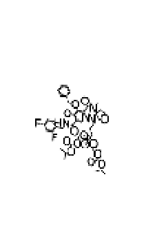 CC(C)OC(=O)OCOP(=O)(CCCN1n2cc(C(=O)NCc3ccc(F)cc3F)c(=O)c(OCc3ccccc3)c2C(=O)N(C)C12CCOC2)OCOC(=O)OC(C)C